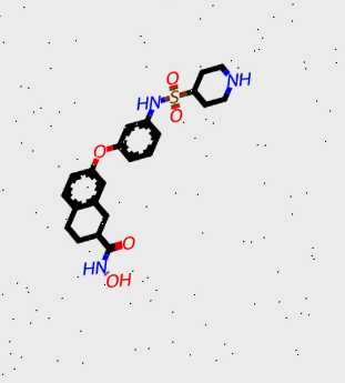 O=C(NO)C1CCc2ccc(Oc3cccc(NS(=O)(=O)C4CCNCC4)c3)cc2C1